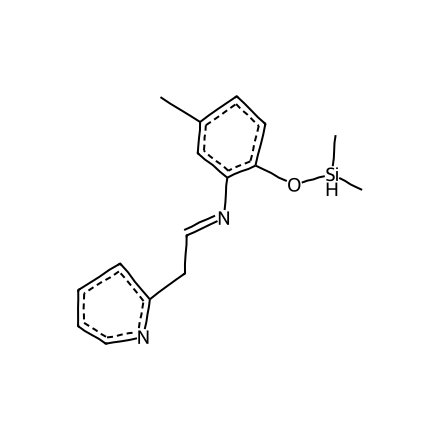 Cc1ccc(O[SiH](C)C)c(N=CCc2ccccn2)c1